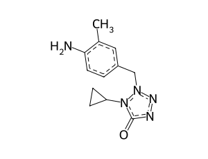 Cc1cc(Cn2nnc(=O)n2C2CC2)ccc1N